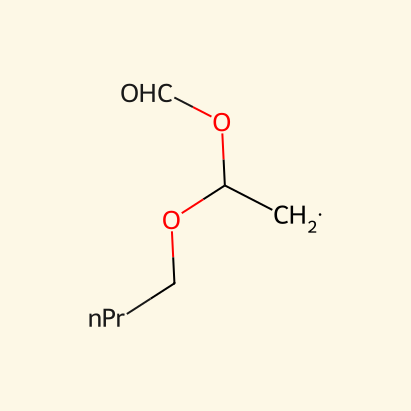 [CH2]C(OC=O)OCCCC